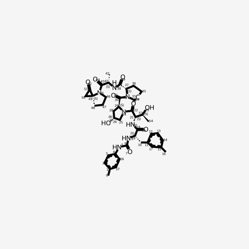 Cc1ccc(NC(=O)N[C@@H](Cc2cccc(C)c2)C(=O)N[C@H](C(=O)N2C[C@H](O)C[C@H]2C(=O)N2CCCC[C@H]2C(=O)N[C@@H](C)C(=O)N2CCC[C@@]23CC3=O)[C@H](C)O)cc1